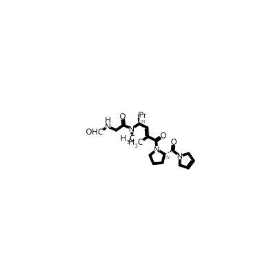 C/C(=C\[C@H](C(C)C)N(C)C(=O)CNC=O)C(=O)N1CCC[C@H]1C(=O)N1CC=CC1